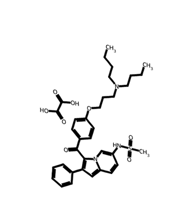 CCCCN(CCCC)CCCOc1ccc(C(=O)c2c(-c3ccccc3)cc3ccc(NS(C)(=O)=O)cn23)cc1.O=C(O)C(=O)O